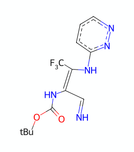 CC(C)(C)OC(=O)N/C(C=N)=C(/Nc1cccnn1)C(F)(F)F